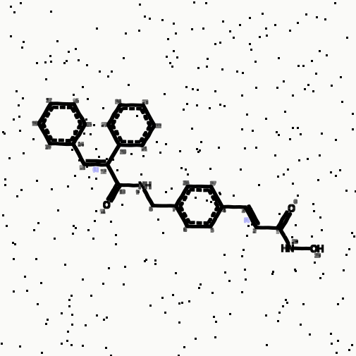 O=C(/C=C/c1ccc(CNC(=O)/C(=C/c2ccccc2)c2ccccc2)cc1)NO